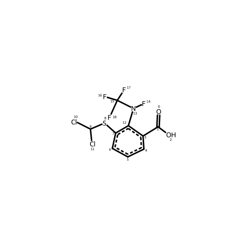 O=C(O)c1cccc(SC(Cl)Cl)c1N(F)C(F)(F)F